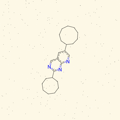 c1nc2nc(C3CCCCCCC3)ncc2cc1C1CCCCCCCC1